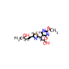 COc1ncc(/C(=C\C(=O)O)c2nc(C#CCC(C)O)cs2)cn1